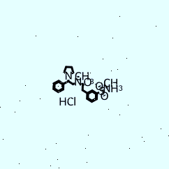 CNS(=O)(=O)c1cccc(CC(=O)N(C)CC(c2ccccc2)N2CCCC2)c1.Cl